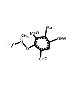 COc1cc(C=O)c(O[SiH](C)C)c(OC)c1C(C)(C)C